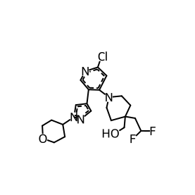 OCC1(CC(F)F)CCN(c2cc(Cl)ncc2-c2cnn(C3CCOCC3)c2)CC1